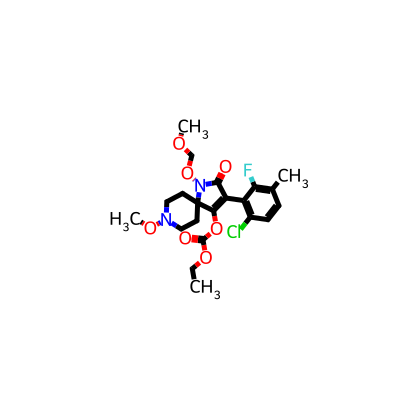 CCOC(=O)OC1=C(c2c(Cl)ccc(C)c2F)C(=O)N(OCOC)C12CCN(OC)CC2